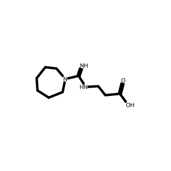 N=C(NCCC(=O)O)N1CCCCCC1